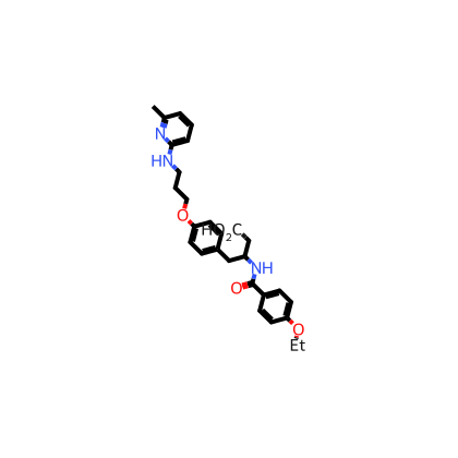 CCOc1ccc(C(=O)NC(CC(=O)O)Cc2ccc(OCCCNc3cccc(C)n3)cc2)cc1